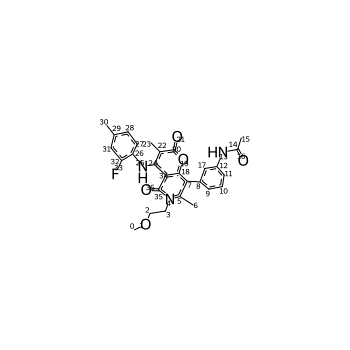 COCCn1c(C)c(-c2cccc(NC(C)=O)c2)c2oc(=O)c(C)c(Nc3ccc(C)cc3F)c2c1=O